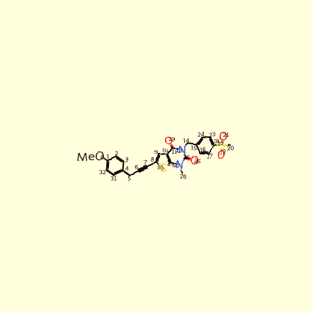 COc1ccc(CC#Cc2cc3c(=O)n(Cc4ccc(S(C)(=O)=O)cc4)c(=O)n(C)c3s2)cc1